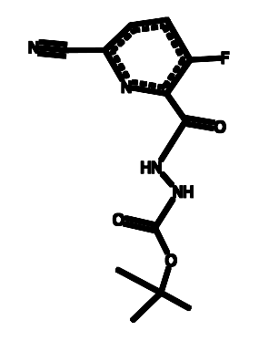 CC(C)(C)OC(=O)NNC(=O)c1nc(C#N)ccc1F